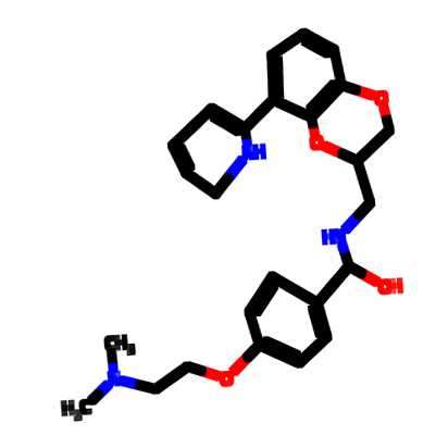 CN(C)CCOc1ccc(C(O)NCC2COc3cccc(C4=CC=CCN4)c3O2)cc1